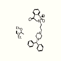 C=C.CCOC(C)OCC.O=C1CN(CCCN2CCN(C(c3ccccc3)c3ccccc3)CC2)S(=O)(=O)c2ccccc21